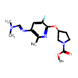 CN(C)C=Nc1cc(F)c(O[C@H]2CCN(C(=O)OC(C)(C)C)C2)nc1C#N